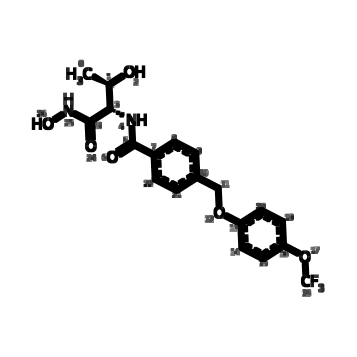 C[C@@H](O)[C@H](NC(=O)c1ccc(COc2ccc(OC(F)(F)F)cc2)cc1)C(=O)NO